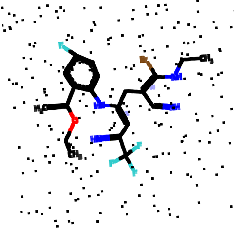 C=C(OCC)c1cc(F)ccc1N/C(=C\C(=N)C(F)(F)F)C/C(C=N)=C(\Br)NCC